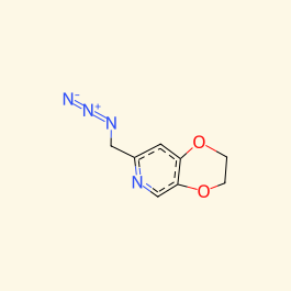 [N-]=[N+]=NCc1cc2c(cn1)OCCO2